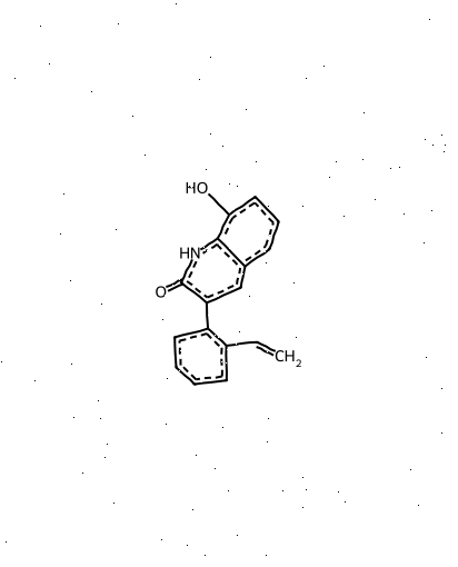 C=Cc1ccccc1-c1cc2cccc(O)c2[nH]c1=O